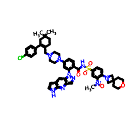 C[N+](=O)c1cc(S(=O)(=O)NC(=O)c2ccc(N3CCN(CC4=C(c5ccc(Cl)cc5)CC(C)(C)CC4)CC3)cc2-n2ncc3nc4[nH]ccc4cc32)ccc1N1CC2(CCOCC2)C1